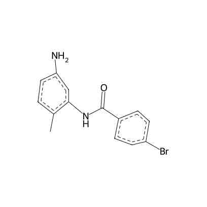 Cc1ccc(N)cc1NC(=O)c1ccc(Br)cc1